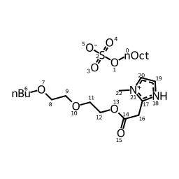 CCCCCCCCOS(=O)(=O)[O-].CCCCOCCOCCOC(=O)Cc1[nH]cc[n+]1C